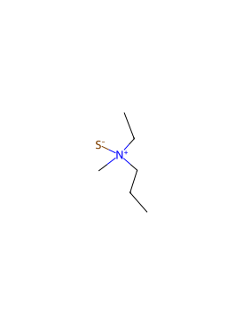 CCC[N+](C)([S-])CC